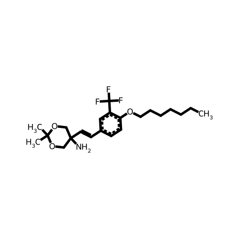 CCCCCCCOc1ccc(/C=C/C2(N)COC(C)(C)OC2)cc1C(F)(F)F